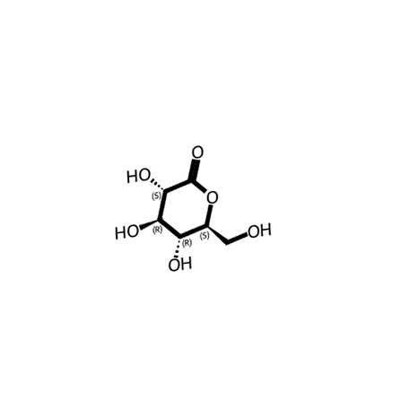 O=C1O[C@@H](CO)[C@H](O)[C@@H](O)[C@@H]1O